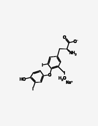 N[C@@H](Cc1cc(I)c(Oc2ccc(O)c(I)c2)c(I)c1)C(=O)[O-].O.[Na+]